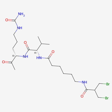 CC(=O)[C@H](CCCNC(N)=O)NC(=O)[C@@H](NC(=O)CCCCCNC(=O)C(CBr)CBr)C(C)C